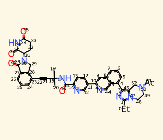 CCc1nc(-c2cccc3cc(-c4ccc(C(=O)NC(C)(C)C#Cc5cccc6c5CN(C5CCC(=O)NC5=O)C6=O)nc4)ncc23)c2n1CCN(C(C)=O)C2